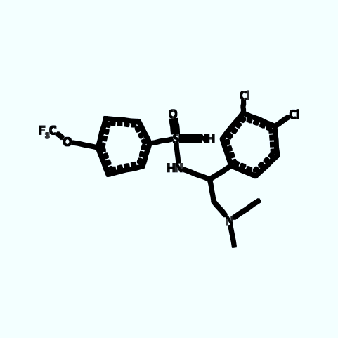 CN(C)CC(NS(=N)(=O)c1ccc(OC(F)(F)F)cc1)c1ccc(Cl)c(Cl)c1